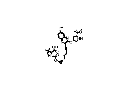 COC(=O)[C@@H]1C[C@@H](Oc2nc3cc(OC)ccc3nc2C#CCCC[C@@H]2C[C@H]2OC(=O)NC(C(=O)O)C(C)(C)C)CN1